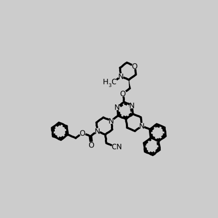 CN1CCOC[C@H]1COc1nc2c(c(N3CCN(C(=O)OCc4ccccc4)C(CC#N)C3)n1)CCN(c1cccc3ccccc13)C2